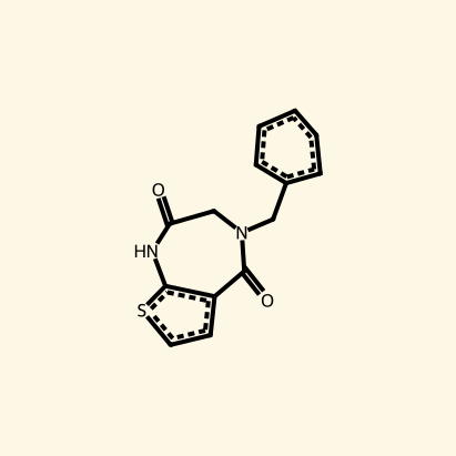 O=C1CN(Cc2ccccc2)C(=O)c2ccsc2N1